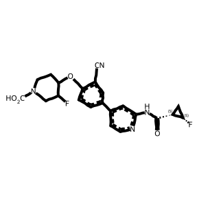 N#Cc1cc(-c2ccnc(NC(=O)[C@@H]3C[C@@H]3F)c2)ccc1OC1CCN(C(=O)O)CC1F